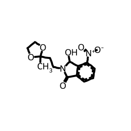 CC1(CCN2C(=O)c3cccc([N+](=O)[O-])c3C2O)OCCO1